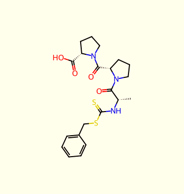 C[C@H](NC(=S)SCc1ccccc1)C(=O)N1CCC[C@H]1C(=O)N1CCC[C@H]1C(=O)O